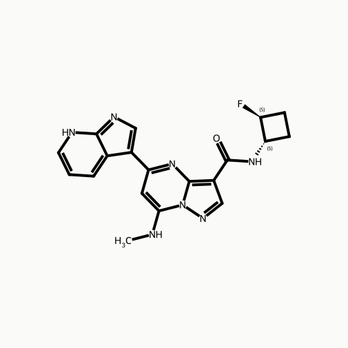 CNc1cc(-c2cnc3[nH]cccc2-3)nc2c(C(=O)N[C@H]3CC[C@@H]3F)cnn12